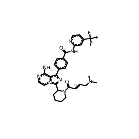 CN(C)C/C=C/C(=O)N1CCCCC1c1nc(-c2ccc(C(=O)Nc3cc(C(F)(F)F)ccn3)cc2)c2c(N)nccn12